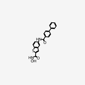 O=C(Nc1ccc2sc(C(=O)NO)cc2c1)c1ccc(-c2ccccc2)cc1